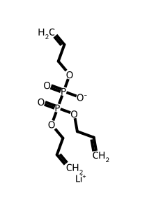 C=CCOP(=O)([O-])P(=O)(OCC=C)OCC=C.[Li+]